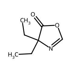 CCC1(CC)N=COC1=O